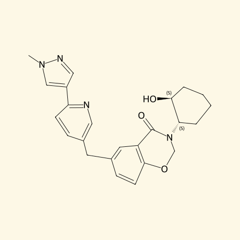 Cn1cc(-c2ccc(Cc3ccc4c(c3)C(=O)N([C@H]3CCCC[C@@H]3O)CO4)cn2)cn1